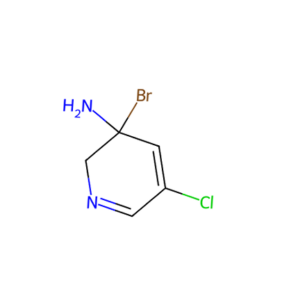 NC1(Br)C=C(Cl)C=NC1